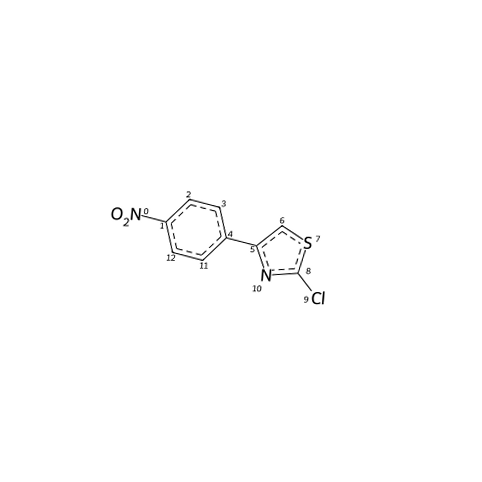 O=[N+]([O-])c1ccc(-c2csc(Cl)n2)cc1